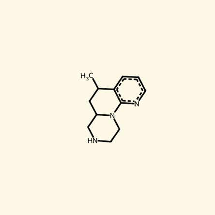 CC1CC2CNCCN2c2ncccc21